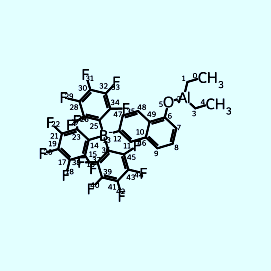 C[CH2][Al]([CH2]C)[O]c1cccc2cc([B-](c3c(F)c(F)c(F)c(F)c3F)(c3c(F)c(F)c(F)c(F)c3F)c3c(F)c(F)c(F)c(F)c3F)ccc12